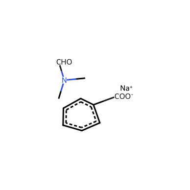 CN(C)C=O.O=C([O-])c1ccccc1.[Na+]